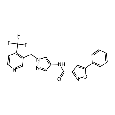 O=C(Nc1cnn(Cc2cnccc2C(F)(F)F)c1)c1cc(-c2ccccc2)on1